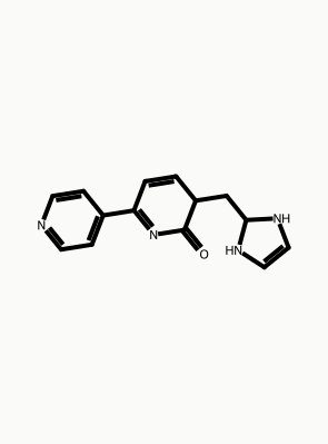 O=C1N=C(c2ccncc2)C=CC1CC1NC=CN1